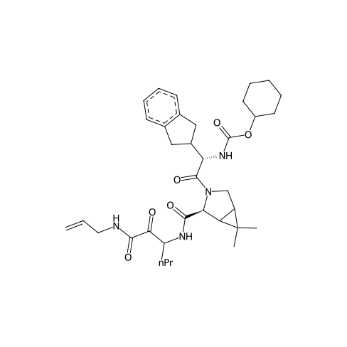 C=CCNC(=O)C(=O)C(CCC)NC(=O)[C@@H]1C2C(CN1C(=O)[C@@H](NC(=O)OC1CCCCC1)C1Cc3ccccc3C1)C2(C)C